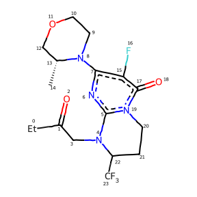 CCC(=O)CN1c2nc(N3CCOC[C@H]3C)c(F)c(=O)n2CCC1C(F)(F)F